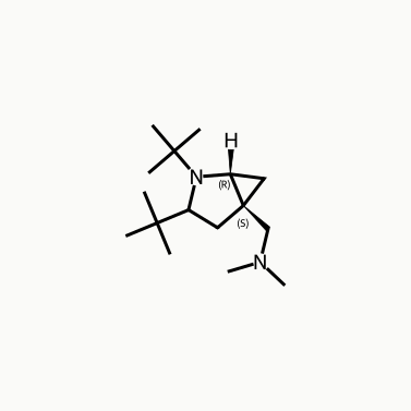 CN(C)C[C@@]12CC(C(C)(C)C)N(C(C)(C)C)[C@@H]1C2